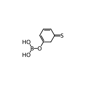 OB(O)OC1=CC=CC(=S)C1